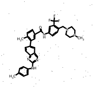 Cc1ccc(Nc2ncc3cc(-c4cc(C(=O)Nc5ccc(CN6CCN(C)CC6)c(C(F)(F)F)c5)ccc4C)ccc3n2)cc1